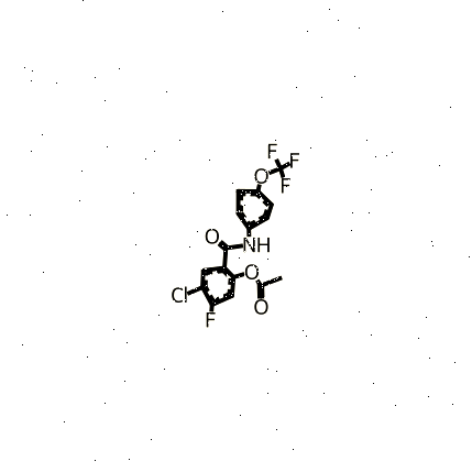 CC(=O)Oc1cc(F)c(Cl)cc1C(=O)Nc1ccc(OC(F)(F)F)cc1